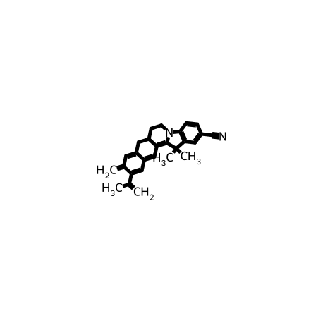 C=C(C)c1cc2c(cc1=C)CC1CCN3C(=C1C=2)C(C)(C)c1cc(C#N)ccc13